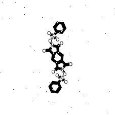 O=c1c2cc3c(=O)n(OS(=O)(=O)c4ccccc4)c(=O)c3cc2c(=O)n1OS(=O)(=O)c1ccccc1